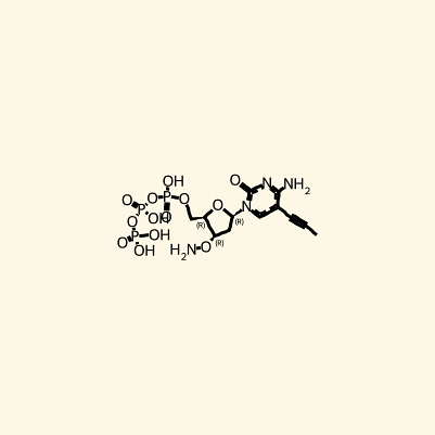 CC#Cc1cn([C@H]2C[C@@H](ON)[C@@H](COP(=O)(O)OP(=O)(O)OP(=O)(O)O)O2)c(=O)nc1N